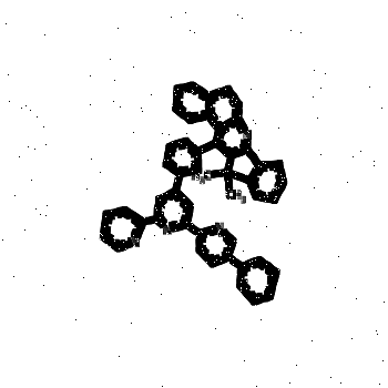 CC1(C)c2ccccc2-c2nc3ccc4ccccc4c3c(-c3cccc(-c4cc(-c5ccccn5)nc(-c5ccc(-c6ccccc6)cn5)c4)c3)c21